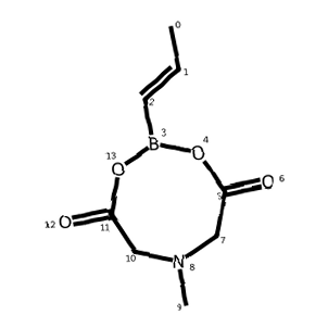 C/C=C/B1OC(=O)CN(C)CC(=O)O1